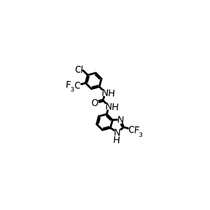 O=C(Nc1ccc(Cl)c(C(F)(F)F)c1)Nc1cccc2[nH]c(C(F)(F)F)nc12